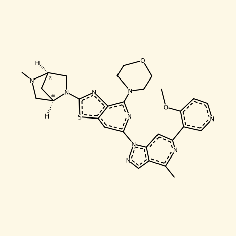 COc1ccncc1-c1cc2c(cnn2-c2cc3sc(N4C[C@H]5C[C@@H]4CN5C)nc3c(N3CCOCC3)n2)c(C)n1